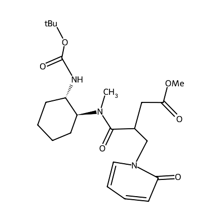 COC(=O)CC(Cn1ccccc1=O)C(=O)N(C)[C@H]1CCCC[C@@H]1NC(=O)OC(C)(C)C